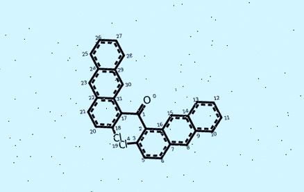 O=C(c1c(Cl)ccc2cc3ccccc3cc12)c1c(Cl)ccc2cc3ccccc3cc12